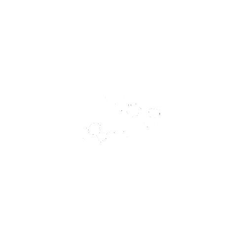 CC(C)(C)[Si](C)(C)O[C@H]1C[C@H](n2cnc3c(N)nc(F)nc32)O[C@]1(CCl)CO[Si](c1ccccc1)(c1ccccc1)C(C)(C)C